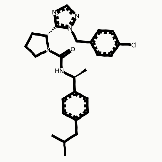 CC(C)Cc1ccc([C@H](C)NC(=O)N2CCC[C@@H]2c2ncnn2Cc2ccc(Cl)cc2)cc1